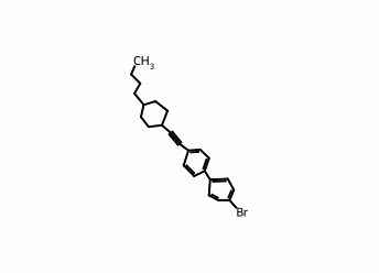 CCCCC1CCC(C#Cc2ccc(-c3ccc(Br)cc3)cc2)CC1